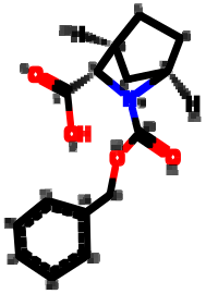 O=C(O)[C@@H]1[C@H]2CC[C@H](C2)N1C(=O)OCc1ccccc1